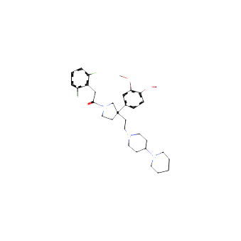 COc1ccc(C2(CCN3CCC(N4CCCCC4)CC3)CCN(C(=O)Cc3c(F)cccc3Cl)C2)cc1OC